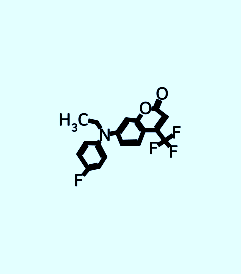 CCN(c1ccc(F)cc1)c1ccc2c(C(F)(F)F)cc(=O)oc2c1